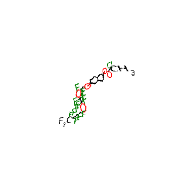 C[C@H](Cl)C(=O)Oc1ccc2cc(OCC(F)(F)OC(F)(F)C(F)(F)OC(F)(F)C(F)(F)C(F)(F)C(F)(F)F)ccc2c1